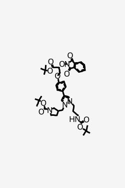 CC(C)(C)OC(=O)NCCCn1cc(-c2ccc(OCC(ON3C(=O)c4ccccc4C3=O)C(=O)OC(C)(C)C)cc2)c[n+]1CC1CCN(C(=O)OC(C)(C)C)C1